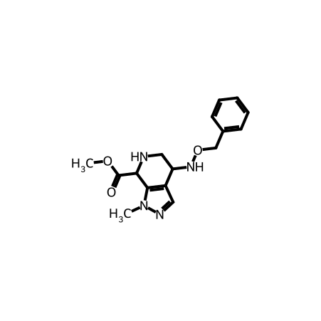 COC(=O)C1NCC(NOCc2ccccc2)c2cnn(C)c21